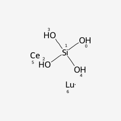 O[Si](O)(O)O.[Ce].[Lu]